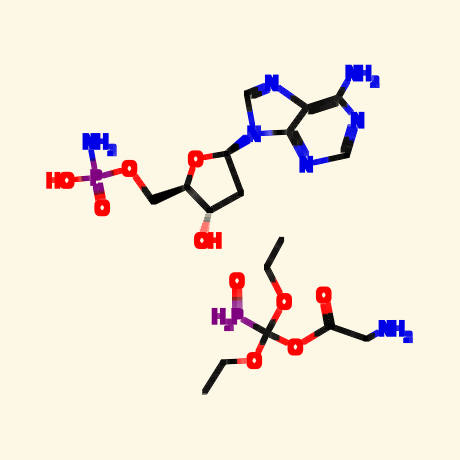 CCOC(OCC)(OC(=O)CN)[PH2]=O.Nc1ncnc2c1ncn2[C@H]1C[C@H](O)[C@@H](COP(N)(=O)O)O1